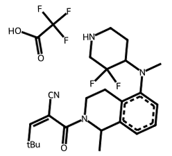 CC1c2cccc(N(C)C3CCNCC3(F)F)c2CCN1C(=O)/C(C#N)=C\C(C)(C)C.O=C(O)C(F)(F)F